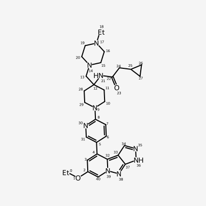 CCOc1cc(-c2ccc(N3CCC(CN4CCN(CC)CC4)(NC(=O)CC4CC4)CC3)nc2)c2c3cn[nH]c3nn2c1